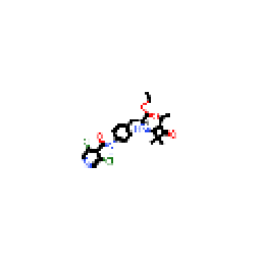 CCOC(=O)[C@H](Cc1ccc(NC(=O)c2c(Cl)cncc2Cl)cc1)NC1=C(CC)C(=O)C1(C)C